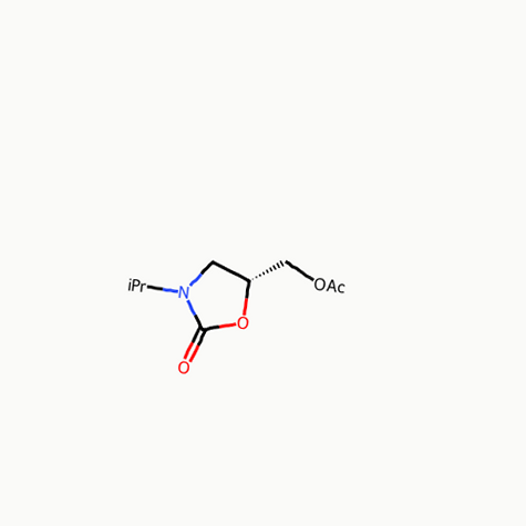 CC(=O)OC[C@H]1CN(C(C)C)C(=O)O1